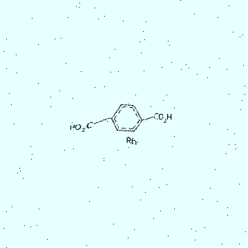 O=C(O)c1ccc(C(=O)O)cc1.[Rh]